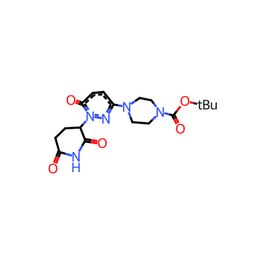 CC(C)(C)OC(=O)N1CCN(c2ccc(=O)n(C3CCC(=O)NC3=O)n2)CC1